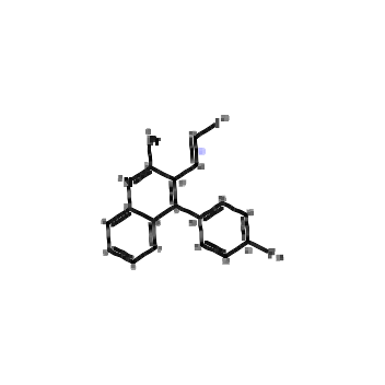 CC(C)c1nc2ccccc2c(-c2ccc(F)cc2)c1/C=C/I